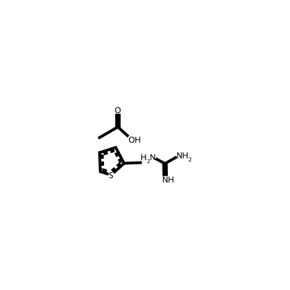 CC(=O)O.Cc1cccs1.N=C(N)N